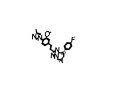 COc1cc(C=Cc2nc3n(n2)C[C@H](C)C[C@H]3c2ccc(F)cc2)ccc1-n1cnc(C)c1